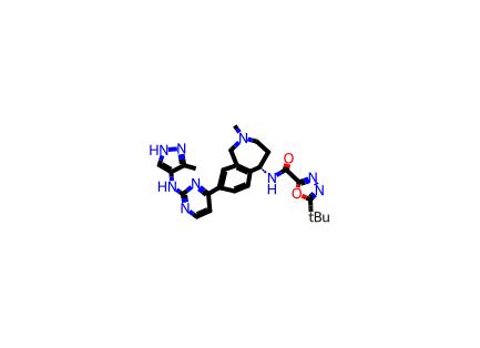 Cc1n[nH]cc1Nc1nccc(-c2ccc3c(c2)CN(C)CC[C@@H]3NC(=O)c2nnc(C(C)(C)C)o2)n1